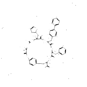 O=C1C[C@@H](O)C(=O)Nc2ccc(cc2)C[C@H](C(=O)O)NC(=O)[C@H](Cc2ccccc2)NC(=O)[C@H](Cc2ccc(-c3ccccc3)cc2)NC(=O)[C@@H](CC2CC=CS2)N1